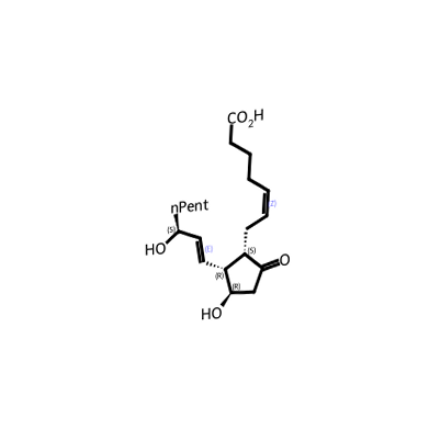 CCCCC[C@H](O)/C=C/[C@H]1[C@H](O)CC(=O)[C@H]1C/C=C\CCCC(=O)O